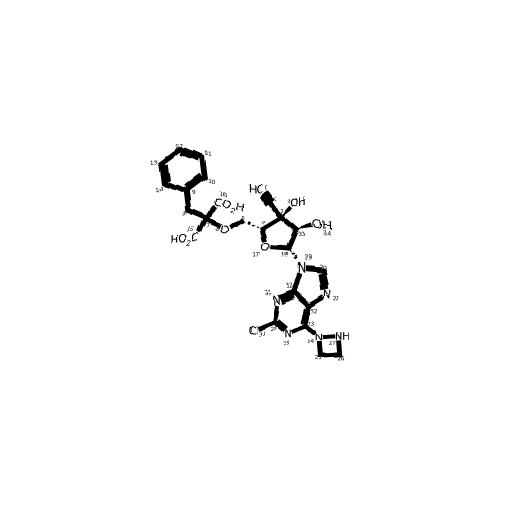 C#C[C@@]1(O)[C@@H](COC(Cc2ccccc2)(C(=O)O)C(=O)O)O[C@@H](n2cnc3c(N4CCN4)nc(Cl)nc32)[C@@H]1O